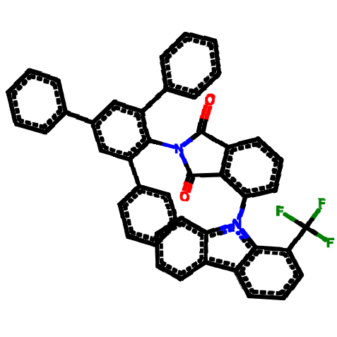 O=C1c2cccc(-n3c4ccccc4c4cccc(C(F)(F)F)c43)c2C(=O)N1c1c(-c2ccccc2)cc(-c2ccccc2)cc1-c1ccccc1